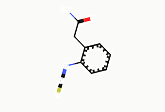 [NH]C(=O)Cc1ccccc1N=C=S